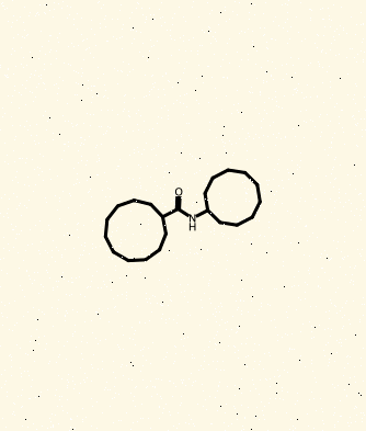 O=C(NC1CCCCCCCCC1)C1CCCCCCCCCC1